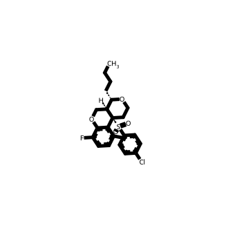 CCCC[C@@H]1OCC[C@@]2(S(=O)(=O)c3ccc(Cl)cc3)c3c(F)ccc(F)c3OC[C@@H]12